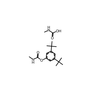 CNC(=O)O.CNC(=O)Oc1cc(C(C)(C)C)cc(C(C)(C)C)c1